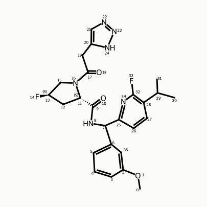 COc1cccc(C(NC(=O)[C@@H]2C[C@@H](F)CN2C(=O)Cc2cnn[nH]2)c2ccc(C(C)C)c(F)n2)c1